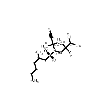 CCCCC(C)CS(=O)(=O)N(SC(Cl)(Cl)C(Cl)Cl)C(C)(C)C#N